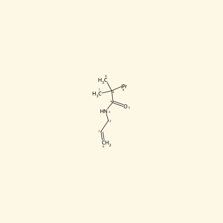 C=CCNC(=O)C(C)(C)C(C)C